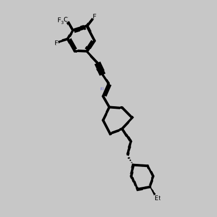 CC[C@H]1CC[C@H](CCC2CCC(/C=C/C#Cc3cc(F)c(C(F)(F)F)c(F)c3)CC2)CC1